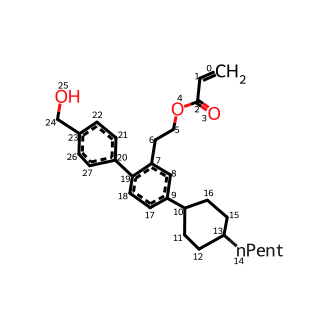 C=CC(=O)OCCc1cc(C2CCC(CCCCC)CC2)ccc1-c1ccc(CO)cc1